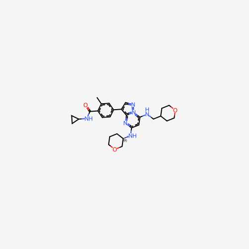 Cc1cc(-c2cnn3c(NCC4CCOCC4)cc(N[C@@H]4CCCOC4)nc23)ccc1C(=O)NC1CC1